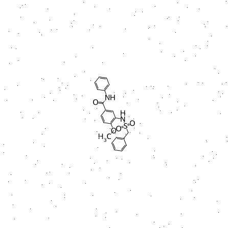 COc1ccc(C(=O)Nc2ccccc2)cc1NS(=O)(=O)Cc1ccccc1